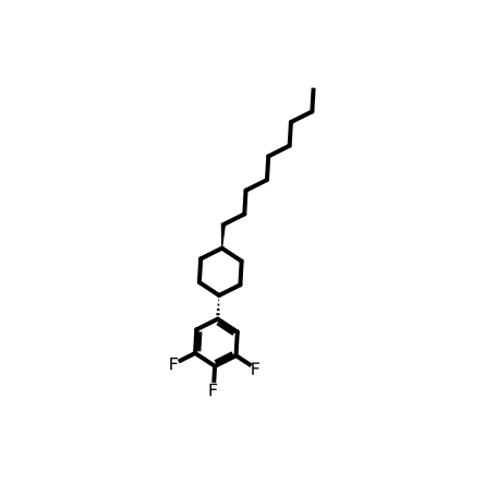 CCCCCCCCC[C@H]1CC[C@H](c2cc(F)c(F)c(F)c2)CC1